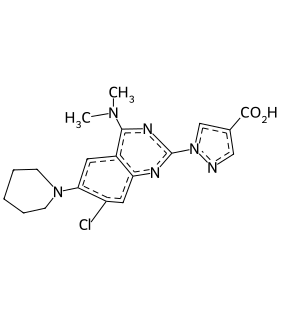 CN(C)c1nc(-n2cc(C(=O)O)cn2)nc2cc(Cl)c(N3CCCCC3)cc12